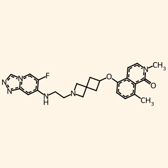 Cc1ccc(OC2CC3(C2)CN(CCNc2cc4nncn4cc2F)C3)c2ccn(C)c(=O)c12